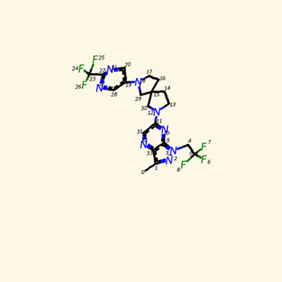 Cc1nn(CC(F)(F)F)c2nc(N3CCC4(CCN(c5cnc(C(F)(F)F)nc5)C4)C3)cnc12